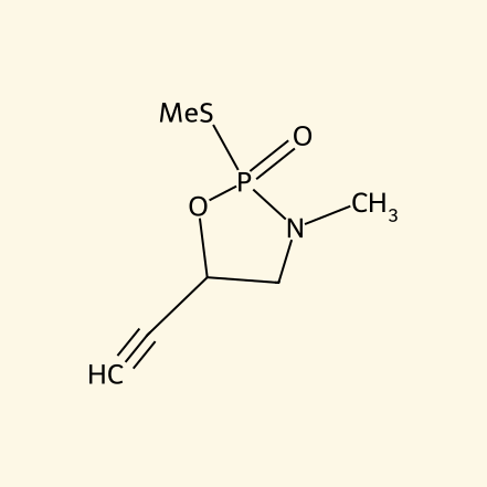 C#CC1CN(C)P(=O)(SC)O1